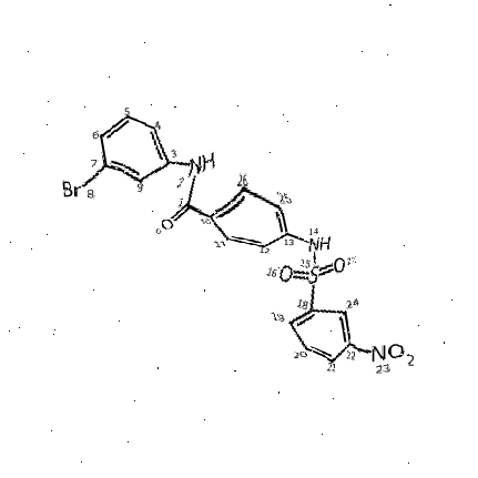 O=C(Nc1cccc(Br)c1)c1ccc(NS(=O)(=O)c2cccc([N+](=O)[O-])c2)cc1